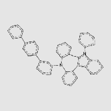 c1ccc(-c2ccc(-c3cccc(N4c5ccccc5-c5c(n(-c6ccccc6)c6ccccc56)-c5ccccc54)c3)cc2)cc1